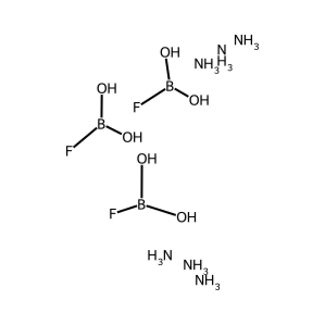 N.N.N.N.N.N.OB(O)F.OB(O)F.OB(O)F